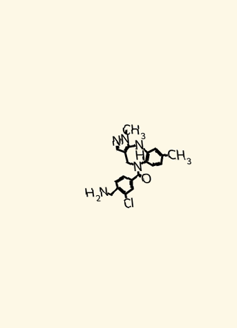 Cc1ccc2c(c1)Nc1c(cnn1C)CN2C(=O)c1ccc(CN)c(Cl)c1